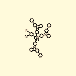 N#Cc1ccc(-c2cc(-c3ccc(-n4c5ccccc5c5cc(-c6ccccc6)ccc54)cc3)nc(-c3ccc(-n4c5ccccc5c5cc(-c6ccccc6)ccc54)cc3)c2-c2ccc(-n3c4ccccc4c4cc(-c5ccccc5)ccc43)cc2)cc1C#N